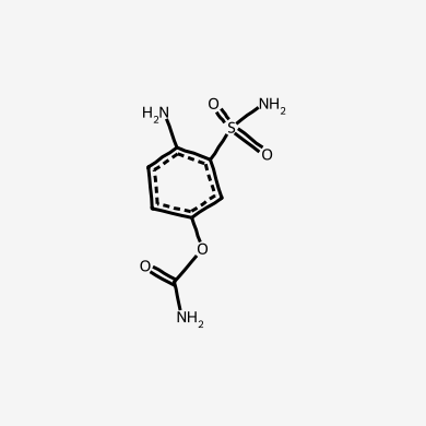 NC(=O)Oc1ccc(N)c(S(N)(=O)=O)c1